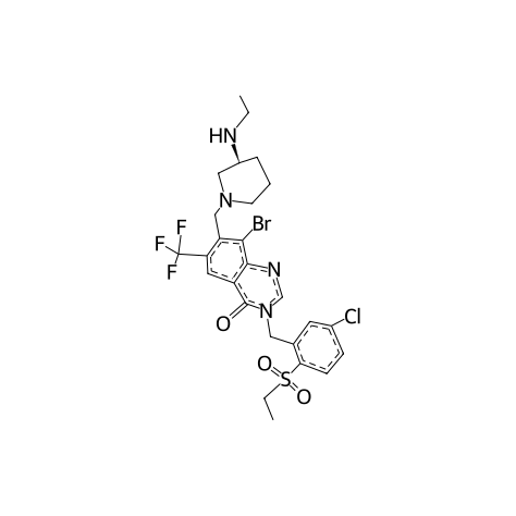 CCN[C@H]1CCCN(Cc2c(C(F)(F)F)cc3c(=O)n(Cc4cc(Cl)ccc4S(=O)(=O)CC)cnc3c2Br)C1